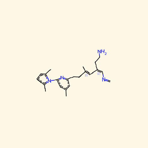 C=N/C=C(\C=C(/C)CCc1cc(C)cc(-n2c(C)ccc2C)n1)CCN